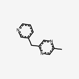 Cc1cnc(Cc2cccnc2)cn1